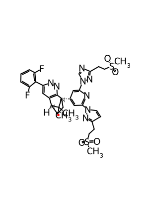 CC1(C)[C@H]2CC[C@]1(c1cc(-n3ccc(CCS(C)(=O)=O)n3)nc(-n3cnc(CCS(C)(=O)=O)n3)c1)c1nnc(-c3c(F)cccc3F)cc12